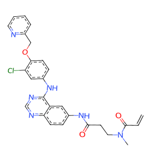 C=CC(=O)N(C)CCC(=O)Nc1ccc2ncnc(Nc3ccc(OCc4ccccn4)c(Cl)c3)c2c1